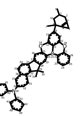 CC1CC2=C(C2)C(C)(c2cc3c4c(c2)Oc2cc5c(cc2B4c2ccccc2O3)C(C)(C)c2c-5ccc3cc(N(c4ccccc4)c4ccccc4)ccc23)C1